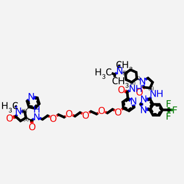 CC(C)N(C)[C@@H]1CC[C@H](N2CC[C@H](Nc3ncnc4ccc(C(F)(F)F)cc34)C2=O)[C@H](NC(=O)c2cc(OCCOCCOCCOCCOCCNC(=O)[C@H]3CC(=O)N(C)[C@@H]3c3cccnc3)ccn2)C1